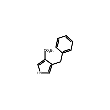 CCOC(=O)c1c[nH]cc1Cc1ccccc1